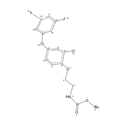 CCC(C)OC(=O)NCCOc1ccc(Oc2cc(F)cc(F)c2)cc1Cl